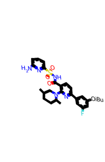 CC(C)COc1cc(F)cc(-c2ccc(C(=O)NS(=O)(=O)c3cccc(N)n3)c(N3CC(C)CCC3C)n2)c1